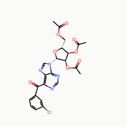 CC(=O)OC[C@H]1O[C@@H](n2cnc3c(C(=O)c4cccc(Cl)c4)ncnc32)[C@H](OC(C)=O)[C@@H]1OC(C)=O